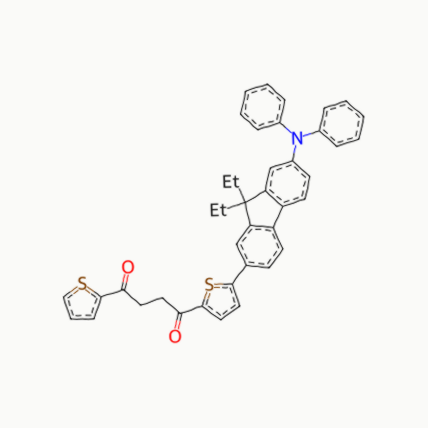 CCC1(CC)c2cc(-c3ccc(C(=O)CCC(=O)c4cccs4)s3)ccc2-c2ccc(N(c3ccccc3)c3ccccc3)cc21